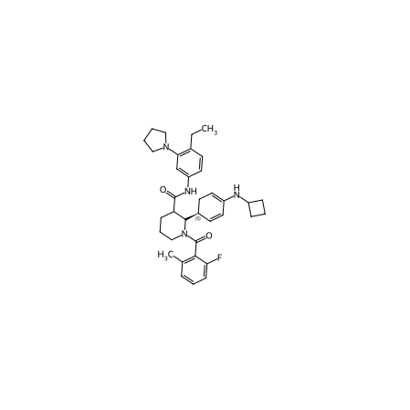 CCc1ccc(NC(=O)C2CCCN(C(=O)c3c(C)cccc3F)C2[C@@H]2C=CC(NC3CCC3)=CC2)cc1N1CCCC1